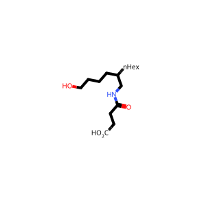 CCCCCCC(CCCCO)CNC(=O)CCC(=O)O